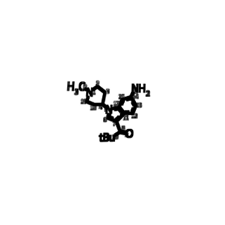 CN1CCC(n2cc(C(=O)C(C)(C)C)c3ccc(N)cc32)CC1